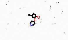 C#Cc1ccc(OC)c(OC2CCN(C)CC2)c1